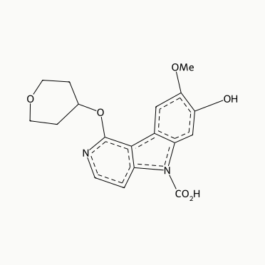 COc1cc2c3c(OC4CCOCC4)nccc3n(C(=O)O)c2cc1O